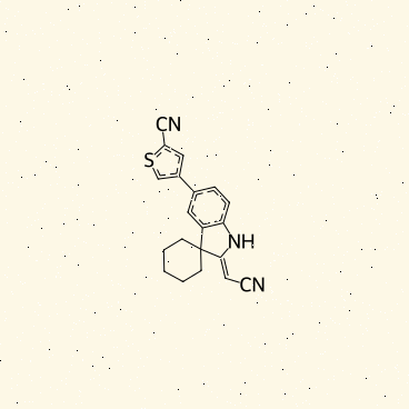 N#CC=C1Nc2ccc(-c3csc(C#N)c3)cc2C12CCCCC2